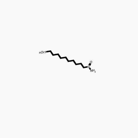 CCCCCCCCCCCCCCCCCC[Si](N)=O